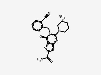 N#Cc1ccccc1Cn1c(N2CCC[C@@H](N)C2)nc2cc(C(N)=O)sc2c1=O